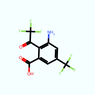 Nc1cc(C(F)(F)F)cc(C(=O)O)c1C(=O)C(F)(F)F